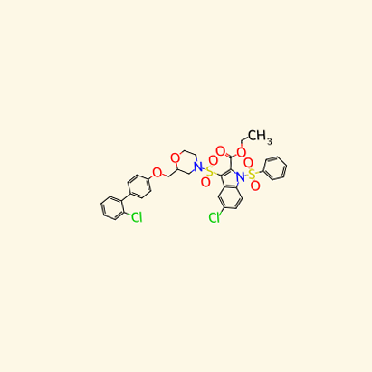 CCOC(=O)c1c(S(=O)(=O)N2CCOC(COc3ccc(-c4ccccc4Cl)cc3)C2)c2cc(Cl)ccc2n1S(=O)(=O)c1ccccc1